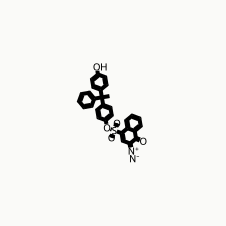 CC(c1ccccc1)(c1ccc(O)cc1)c1ccc(OS(=O)(=O)C2=CC(=[N+]=[N-])C(=O)c3ccccc32)cc1